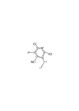 N#Cc1c(F)c(Cl)nc(Cl)c1CI